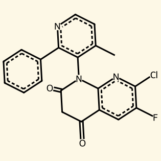 Cc1ccnc(-c2ccccc2)c1N1C(=O)CC(=O)c2cc(F)c(Cl)nc21